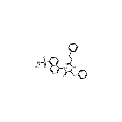 CC(C)(C)NS(=O)(=O)c1cccc2c(NC(=O)C(Cc3ccccc3)NC(=O)CCc3ccccc3)cccc12